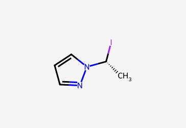 C[C@@H](I)n1cccn1